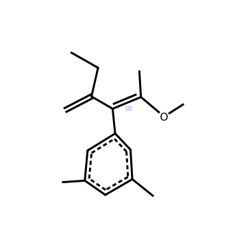 C=C(CC)/C(=C(\C)OC)c1cc(C)cc(C)c1